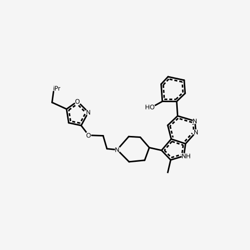 Cc1[nH]c2nnc(-c3ccccc3O)cc2c1C1CCN(CCOc2cc(CC(C)C)on2)CC1